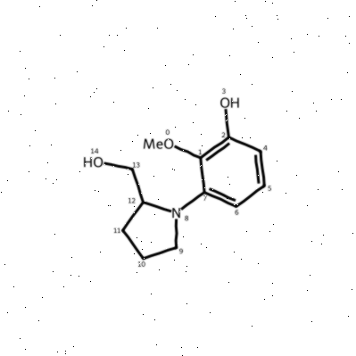 COc1c(O)cccc1N1CCCC1CO